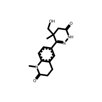 CN1C(=O)CCc2cc(C3=NNC(=O)CC3(C)CO)ccc21